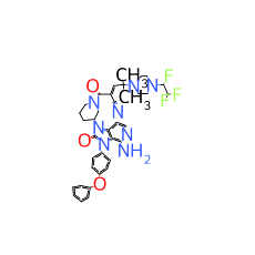 CC(C)(C=C(C#N)C(=O)N1CCCC(n2c(=O)n(-c3ccc(Oc4ccccc4)cc3)c3c(N)nccc32)C1)N1CCN(C(F)C(F)F)CC1